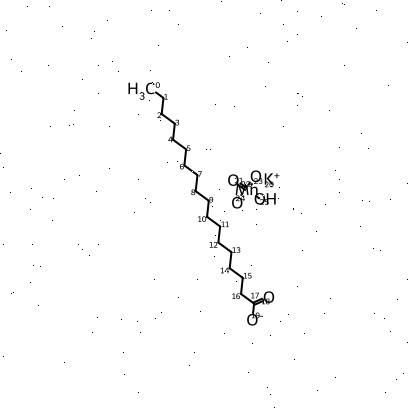 CCCCCCCCCCCCCCCCCC(=O)[O-].[K+].[O]=[Mn](=[O])(=[O])[OH]